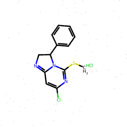 CSC1=NC(Cl)=CC2=NCC(c3ccccc3)N21.Cl